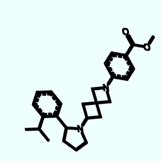 COC(=O)c1ccc(N2CC3(CC(N4CCCC4c4ccccc4C(C)C)C3)C2)cc1